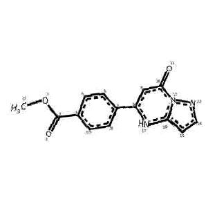 COC(=O)c1ccc(-c2cc(=O)n3nccc3[nH]2)cc1